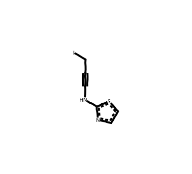 ICC#CNc1nccs1